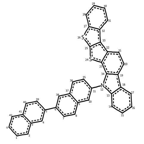 c1ccc2cc(-c3ccc4cc(-n5c6ccccc6c6ccc7c(sc8sc9ccccc9c87)c65)ccc4c3)ccc2c1